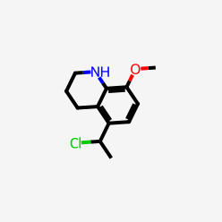 COc1ccc(C(C)Cl)c2c1NCCC2